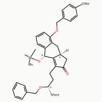 CCCCC[C@@H](CCC1=C2[C@H](CC1=O)Cc1c(OCc3ccc(OC)cc3)cccc1[C@H]2O[Si](C)(C)C(C)(C)C)OCc1ccccc1